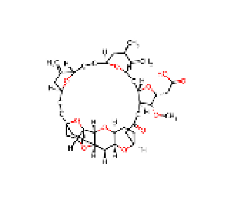 C=C1C[C@@H]2CC[C@@]34C[C@H]5[C@H]6O[C@H](CC[C@@H]6O[C@H]6[C@@H](O3)[C@@H](C4)O[C@@H]56)CC(=O)C[C@@H]3[C@@H](OC)[C@@H](CC(=O)O)O[C@H]3C[C@H]3O[C@@H](CC[C@@H]1O2)C[C@@H](C)C3=C